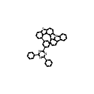 c1ccc(-c2nc(-c3ccccc3)nc(-c3cccc(-c4cccc5sc6ccc7c(c8cccc9c%10ccccc%10n7c98)c6c45)c3)n2)cc1